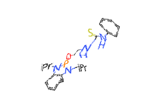 CC(C)N1c2ccccc2N(C(C)C)P1OCCNC(=S)Nc1ccccc1